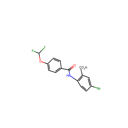 O=C(Nc1ccc(Br)cc1C(=O)O)c1ccc(OC(F)F)cc1